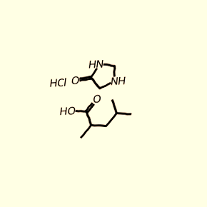 CC(C)CC(C)C(=O)O.Cl.O=C1CNCN1